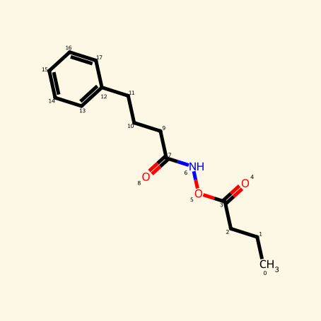 CCCC(=O)ONC(=O)CCCc1ccccc1